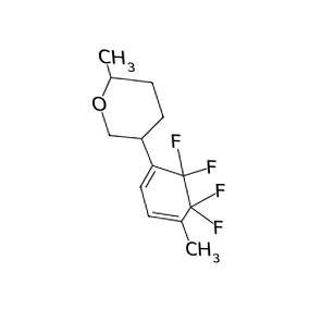 CC1=CC=C(C2CCC(C)OC2)C(F)(F)C1(F)F